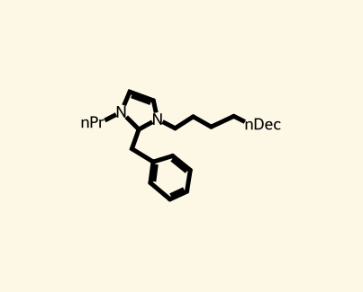 CCCCCCCCCCCCCCN1C=CN(CCC)C1Cc1ccccc1